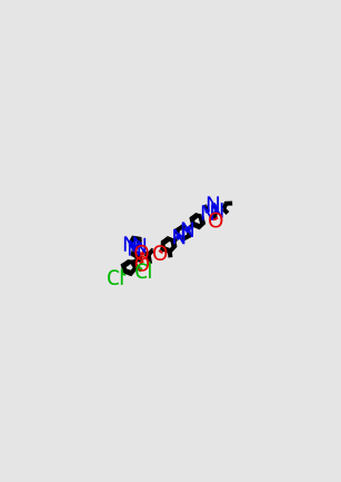 CCC(C)n1ncn(-c2ccc(N3CCN(c4ccc(OCC5COC(Cn6nccn6)(c6ccc(Cl)cc6Cl)O5)c(C)c4)CC3)cc2)c1=O